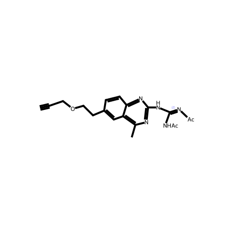 C#CCOCCc1ccc2nc(N/C(=N/C(C)=O)NC(C)=O)nc(C)c2c1